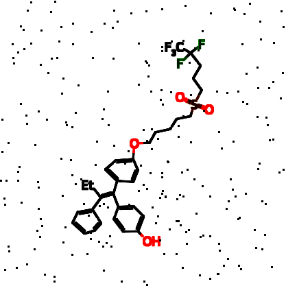 CC/C(=C(/c1ccc(O)cc1)c1ccc(OCCCCCS(=O)(=O)CCCC(F)(F)C(F)(F)F)cc1)c1ccccc1